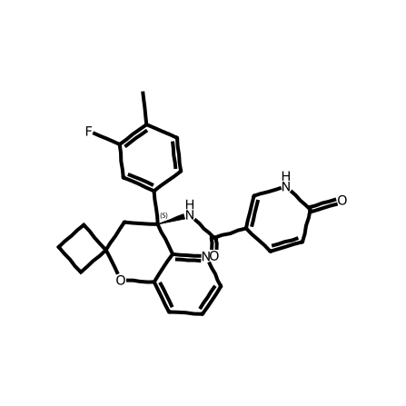 Cc1ccc([C@@]2(NC(=O)c3ccc(=O)[nH]c3)CC3(CCC3)Oc3cccnc32)cc1F